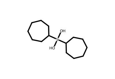 O[Si](O)(C1CCCCCC1)C1CCCCCC1